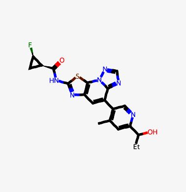 CCC(O)c1cc(C)c(-c2cc3nc(NC(=O)[C@H]4C[C@H]4F)sc3n3ncnc23)cn1